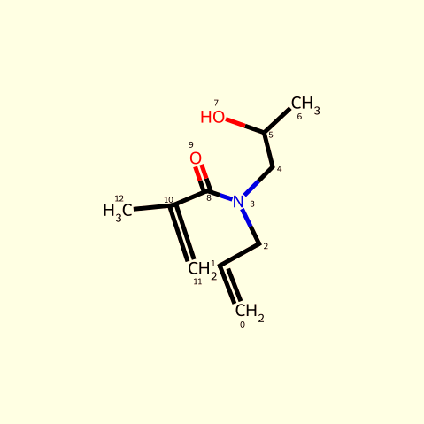 C=CCN(CC(C)O)C(=O)C(=C)C